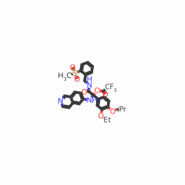 CCOc1cc(C(Nc2ccc3cnccc3c2)(OC(=O)C(F)(F)F)C(=O)NCc2ccccc2S(C)(=O)=O)ccc1OC(C)C